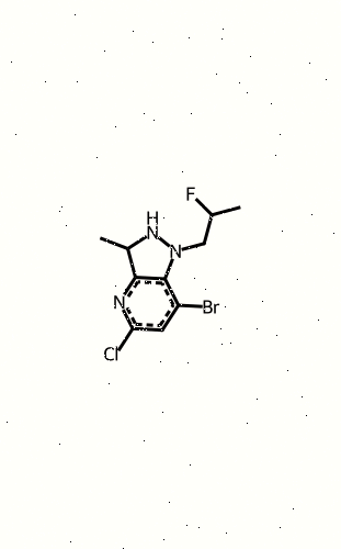 CC(F)CN1NC(C)c2nc(Cl)cc(Br)c21